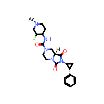 CC(=O)N1CCC(NC(=O)N2CCN3C(=O)N([C@H]4C[C@@H]4c4ccccc4)C(=O)[C@@H]3C2)C(F)C1